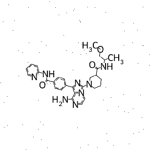 COCC(C)NC(=O)C1CCCN(c2nc(-c3ccc(C(=O)Nc4ccccn4)cc3)c3c(N)nccn23)C1